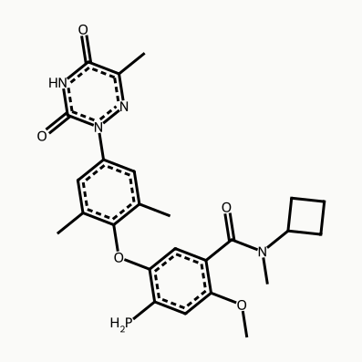 COc1cc(P)c(Oc2c(C)cc(-n3nc(C)c(=O)[nH]c3=O)cc2C)cc1C(=O)N(C)C1CCC1